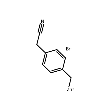 N#CCc1ccc([CH2][Zn+])cc1.[Br-]